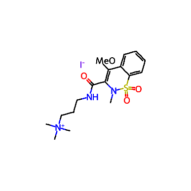 COC1=C(C(=O)NCCC[N+](C)(C)C)N(C)S(=O)(=O)c2ccccc21.[I-]